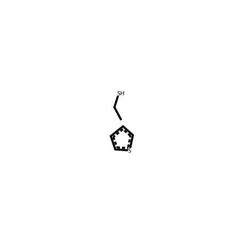 CCS.c1ccsc1